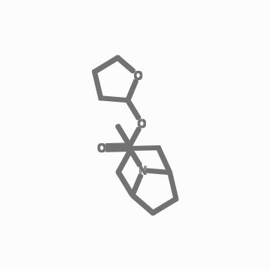 CC1CC2CCC(C1)N2C(=O)OC1CCCO1